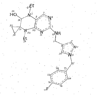 CCN1c2cnc(NCc3cnn(Cc4ccc(F)cc4)c3)nc2N(CC)C2(CC2)C1O